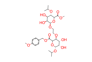 COC(=O)C1O[C@@H](OCCO[C@@H]2C(C(=O)OCc3ccc(OC)cc3)O[C@@H](OC(C)C)[C@@H](O)[C@H]2O)[C@@H](O)[C@@H](O)[C@@H]1OC(C)C